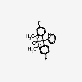 COP(=O)(OC)C(c1ccc(F)cc1)(c1ccc(F)cc1)c1ccccn1